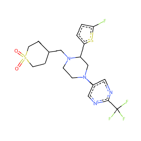 O=S1(=O)CCC(CN2CCN(c3cnc(C(F)(F)F)nc3)CC2c2ccc(F)s2)CC1